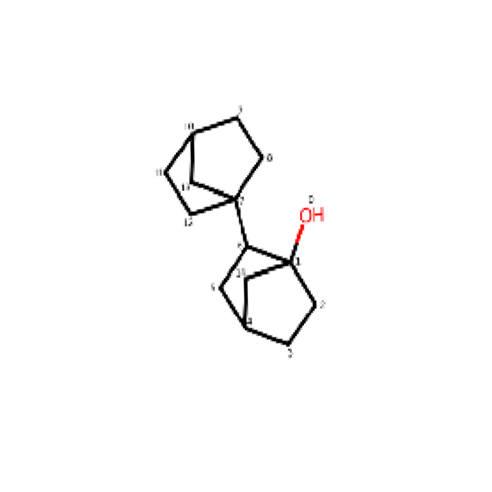 OC12CCC(CC1C13CCC(CC1)C3)C2